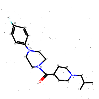 CC(C)CN1CCC(C(=O)N2CCN(c3ccc(F)cc3)CC2)CC1